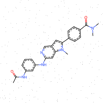 CC(=O)Nc1cccc(Nc2cc3c(cn2)cc(-c2ccc(C(=O)N(C)C)cc2)n3C)c1